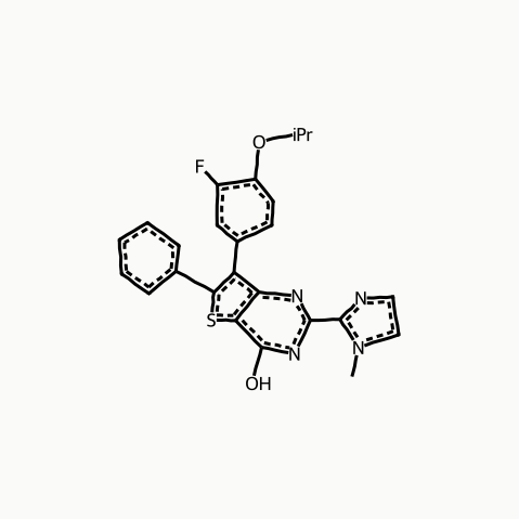 CC(C)Oc1ccc(-c2c(-c3ccccc3)sc3c(O)nc(-c4nccn4C)nc23)cc1F